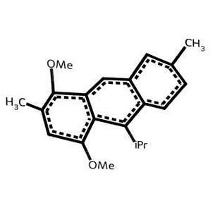 COc1c(C)cc(OC)c2c(C(C)C)c3ccc(C)cc3cc12